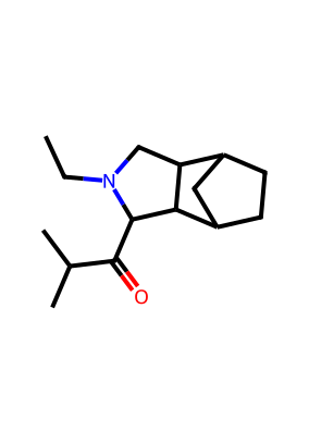 CCN1CC2C3CCC(C3)C2C1C(=O)C(C)C